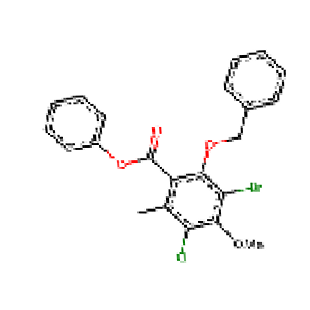 COc1c(Cl)c(C)c(C(=O)Oc2ccccc2)c(OCc2ccccc2)c1Br